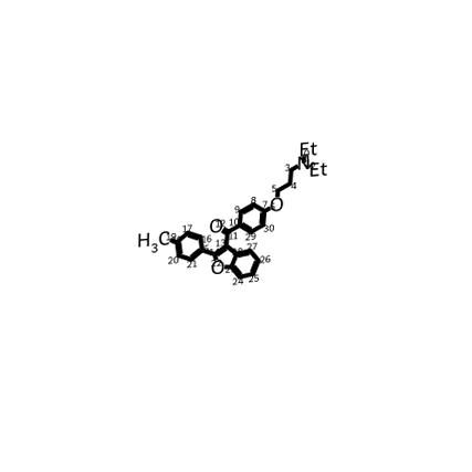 CCN(CC)CCCOc1ccc(C(=O)c2c(-c3ccc(C)cc3)oc3ccccc23)cc1